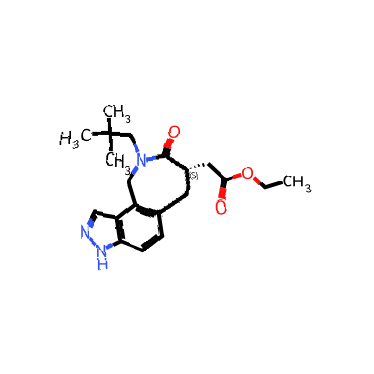 CCOC(=O)C[C@@H]1Cc2ccc3[nH]ncc3c2CN(CC(C)(C)C)C1=O